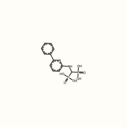 O=P(O)(O)C(Nc1cccc(-c2ccccc2)n1)P(=O)(O)O